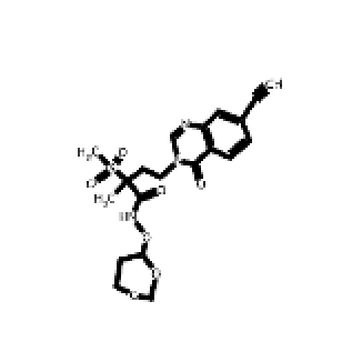 C#Cc1ccc2c(=O)n(CCC(C)(C(=O)NOC3CCCCO3)S(C)(=O)=O)cnc2c1